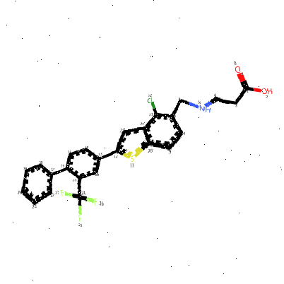 O=C(O)CCNCc1ccc2sc(-c3ccc(-c4ccccc4)c(C(F)(F)F)c3)cc2c1Cl